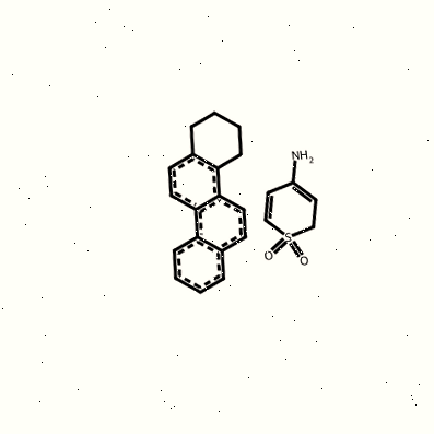 NC1=CCS(=O)(=O)C=C1.c1ccc2c(c1)ccc1c3c(ccc12)CCCC3